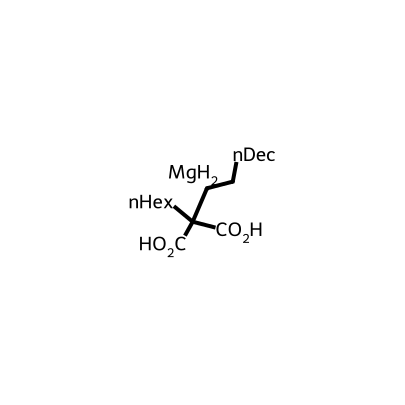 CCCCCCCCCCCCC(CCCCCC)(C(=O)O)C(=O)O.[MgH2]